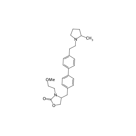 COCCN1C(=O)OCC1Cc1ccc(-c2ccc(CCN3CCCC3C)cc2)cc1